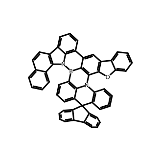 C1=C=CC2=C(C=1)N1c3c(cccc3C23c2ccccc2-c2ccccc23)B2c3c(cc4c(oc5ccccc54)c31)-c1cccc3c4ccc5ccccc5c4n2c13